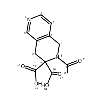 CC(=O)N1Cc2ccncc2CC1(C(=O)O)C(=O)O